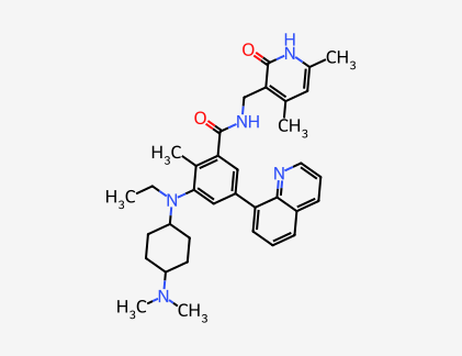 CCN(c1cc(-c2cccc3cccnc23)cc(C(=O)NCc2c(C)cc(C)[nH]c2=O)c1C)C1CCC(N(C)C)CC1